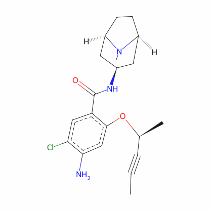 CC#C[C@H](C)Oc1cc(N)c(Cl)cc1C(=O)N[C@H]1C[C@H]2CC[C@@H](C1)N2C